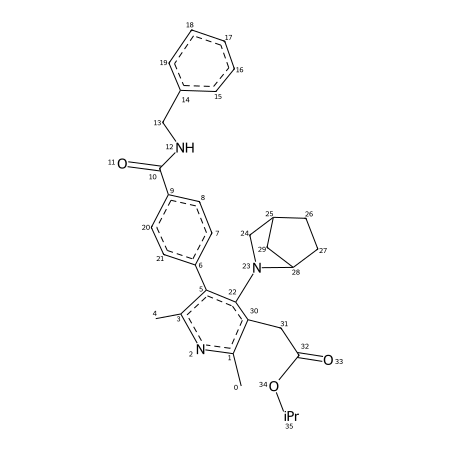 Cc1nc(C)c(-c2ccc(C(=O)NCc3ccccc3)cc2)c(N2CC3CCC2C3)c1CC(=O)OC(C)C